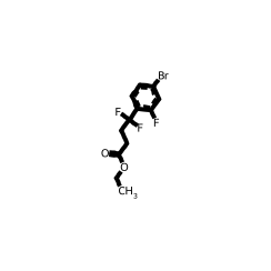 CCOC(=O)CCC(F)(F)c1ccc(Br)cc1F